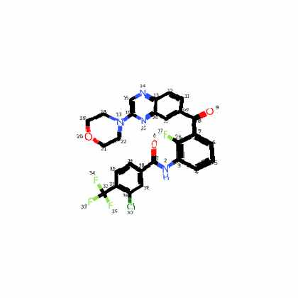 O=C(Nc1cccc(C(=O)c2ccc3ncc(N4CCOCC4)nc3c2)c1F)c1ccc(C(F)(F)F)c(Cl)c1